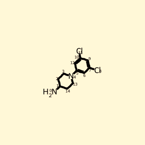 NC1CCN(c2cc(Cl)cc(Cl)c2)CC1